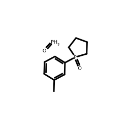 Cc1cccc(P2(=O)CCCC2)c1.O=[PH3]